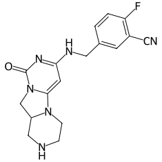 N#Cc1cc(CNc2cc3n(c(=O)n2)CC2CNCCN32)ccc1F